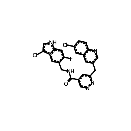 O=C(NCc1cc2c(Cl)c[nH]c2cc1F)c1cnnc(Cc2cnc3ccc(Cl)cc3c2)c1